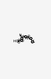 Cc1cccc(-c2cccc(NC(=O)c3ccc(Oc4cc5c(cc4C#N)C(OC(=O)O)CCO5)cc3)c2)c1C